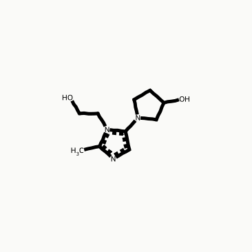 Cc1ncc(N2CCC(O)C2)n1CCO